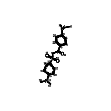 CN(C)c1ccc(C(=O)CS(=O)(=O)c2ccc(N(C)C)cc2)cc1